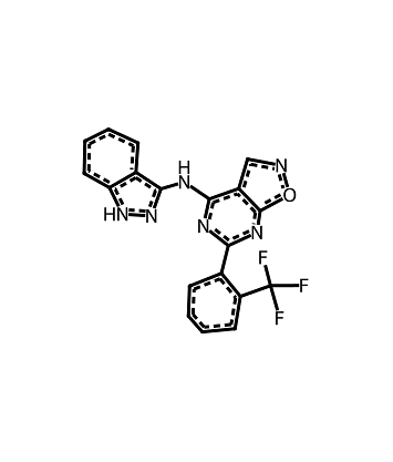 FC(F)(F)c1ccccc1-c1nc(Nc2n[nH]c3ccccc23)c2cnoc2n1